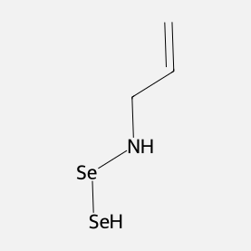 C=CCN[Se][SeH]